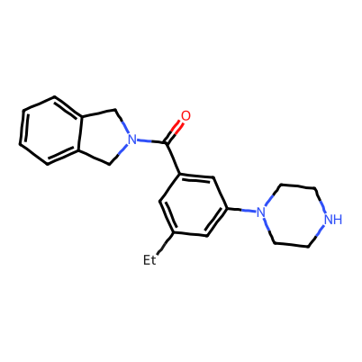 CCc1cc(C(=O)N2Cc3ccccc3C2)cc(N2CCNCC2)c1